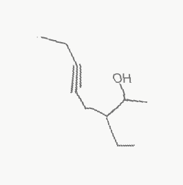 [CH2]CC#CCC(CC)C(C)O